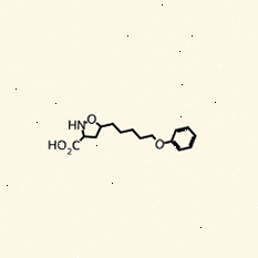 O=C(O)C1CC(CCCCCOc2ccccc2)ON1